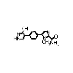 Cc1n[nH]cc1-c1ccc(-c2cnc(C(N)=O)n2C)cc1